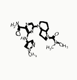 CN(C)C(=O)N1CCC2C1CCCN2c1cnc(C(N)=O)c(Nc2cnn(C)c2)n1